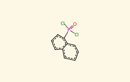 O=P(Cl)(Cl)c1cccc2ccccc12